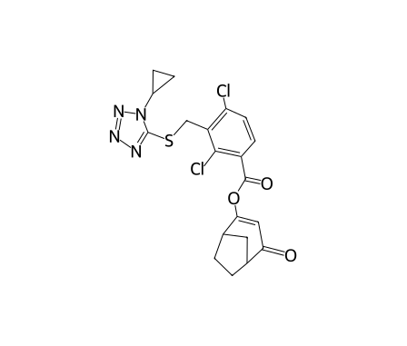 O=C(OC1=CC(=O)C2CCC1C2)c1ccc(Cl)c(CSc2nnnn2C2CC2)c1Cl